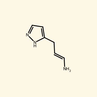 NC=CCc1ccn[nH]1